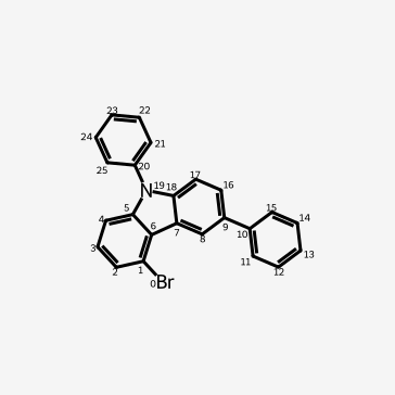 Brc1cccc2c1c1cc(-c3ccccc3)ccc1n2-c1ccccc1